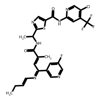 CC/C=C/N=C(\C=C(/C)C(=O)NC(C)c1ncc(C(=O)Nc2cc(C(F)(F)F)c(Cl)cn2)s1)c1cncc(F)c1